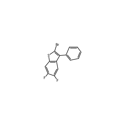 Fc1cc2sc(Br)c(-c3ccccc3)c2cc1F